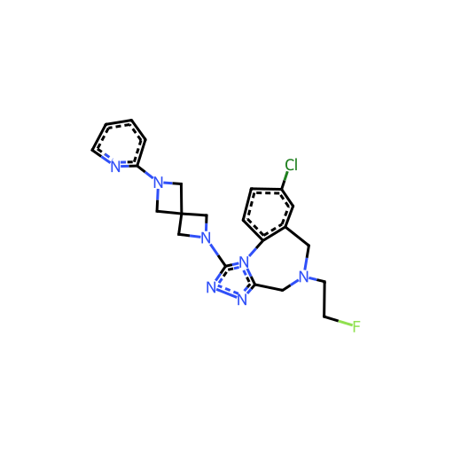 FCCN1Cc2cc(Cl)ccc2-n2c(nnc2N2CC3(CN(c4ccccn4)C3)C2)C1